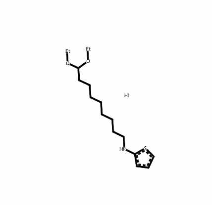 CCOC(CCCCCCCCPc1cccs1)OCC.I